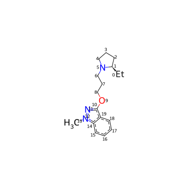 CC[C@@H]1CCCN1CCCOc1nn(C)c2ccccc12